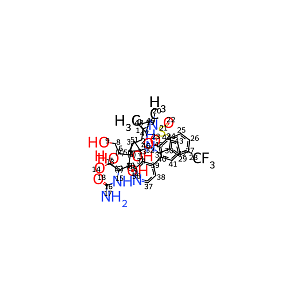 CC(CC[C@@](O)([C@H](O)CO)[C@H](O)[C@H](CO)NC(N)=O)N(C)S(=O)(=O)c1ccc(C(F)(F)F)cc1CNC1(c2cnccc2-c2ccccc2OC2CC2)CC1